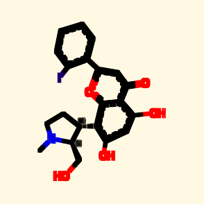 CN1CC[C@H](c2c(O)cc(O)c3c(=O)cc(-c4ccccc4I)oc23)[C@H]1CO